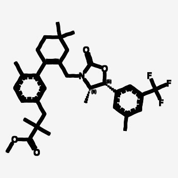 COC(=O)C(C)(C)Cc1ccc(C)c(C2=C(CN3C(=O)O[C@H](c4cc(C)cc(C(F)(F)F)c4)[C@@H]3C)CC(C)(C)CC2)c1